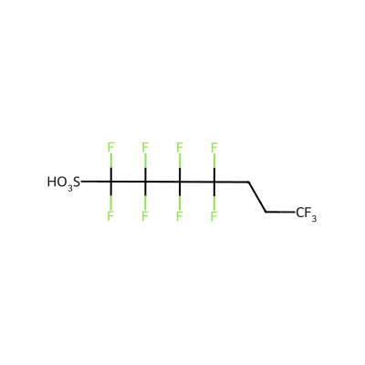 O=S(=O)(O)C(F)(F)C(F)(F)C(F)(F)C(F)(F)CCC(F)(F)F